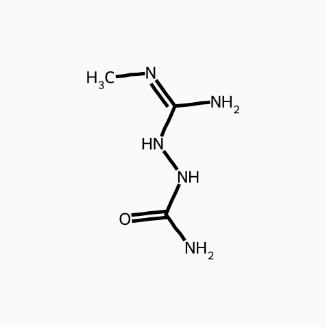 CN=C(N)NNC(N)=O